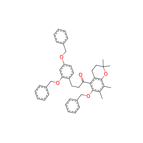 Cc1c(C)c(OCc2ccccc2)c(C(=O)CCc2ccc(OCc3ccccc3)cc2OCc2ccccc2)c2c1OC(C)(C)CC2